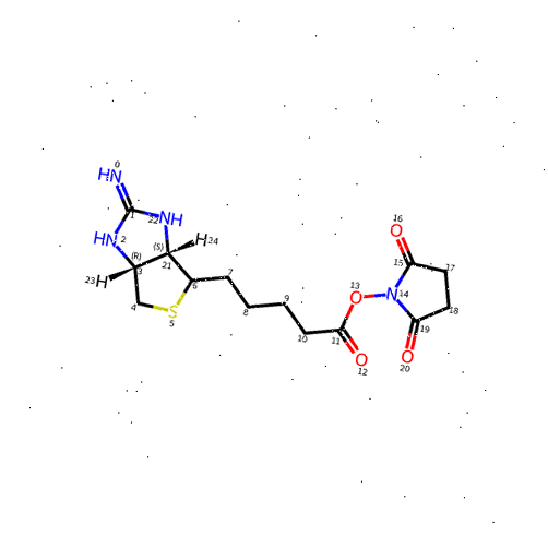 N=C1N[C@H]2CSC(CCCCC(=O)ON3C(=O)CCC3=O)[C@H]2N1